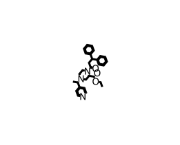 CCOC(=O)C1CN(C(C)c2ccncc2)CCN1C(=O)CC(c1ccccc1)c1ccccc1